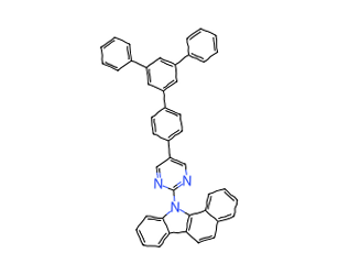 c1ccc(-c2cc(-c3ccccc3)cc(-c3ccc(-c4cnc(-n5c6ccccc6c6ccc7ccccc7c65)nc4)cc3)c2)cc1